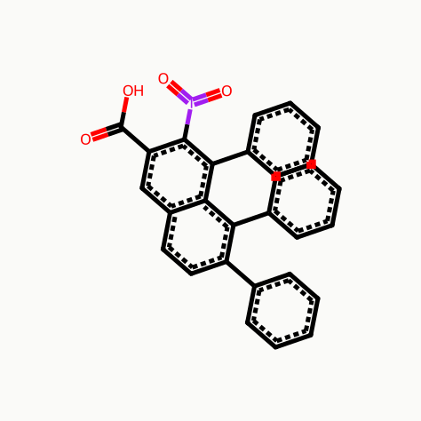 O=C(O)c1cc2ccc(-c3ccccc3)c(-c3ccccc3)c2c(-c2ccccc2)c1I(=O)=O